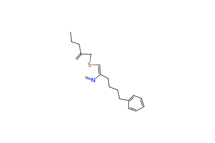 C=N/C(=C\SCC(=C)CCC)CCCCc1ccccc1